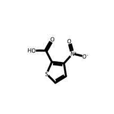 O=C(O)c1sccc1[N+](=O)[O-]